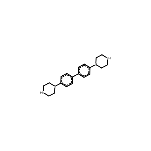 c1cc(N2CCNCC2)ccc1-c1ccc(N2CCNCC2)cc1